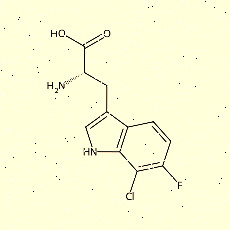 N[C@@H](Cc1c[nH]c2c(Cl)c(F)ccc12)C(=O)O